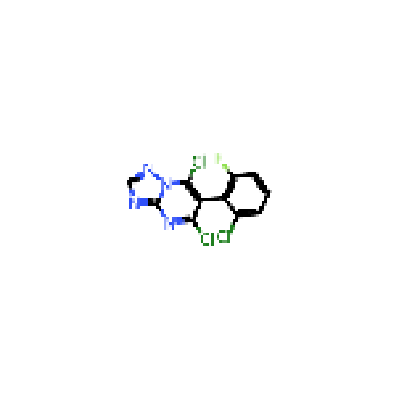 Fc1cccc(Cl)c1-c1c(Cl)nc2ncnn2c1Cl